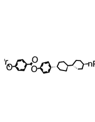 CCCOc1ccc(C(=O)Oc2ccc([C@H]3CC[C@H]([C@H]4CC[C@H](CCC)CC4)CC3)cc2)cc1